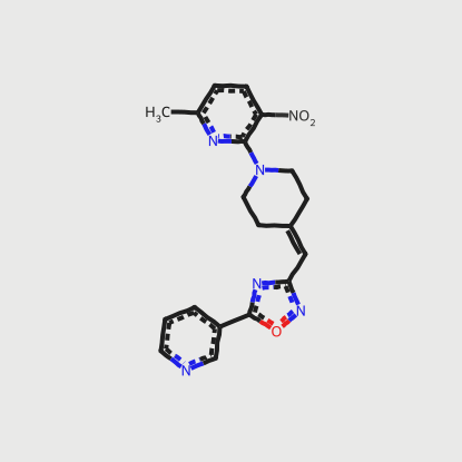 Cc1ccc([N+](=O)[O-])c(N2CCC(=Cc3noc(-c4cccnc4)n3)CC2)n1